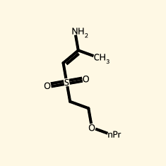 CCCOCCS(=O)(=O)/C=C(\C)N